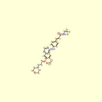 COc1cc2c(Nc3ccc(C=CC(=O)NCC(F)(F)F)cc3)ncnc2cc1OCCCN1CCOCC1